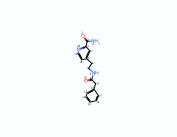 NC(=O)c1cc(CCNC(=O)[CH]c2ccccc2)ccn1